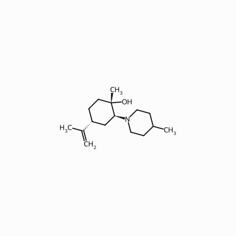 C=C(C)[C@@H]1CC[C@](C)(O)[C@@H](N2CCC(C)CC2)C1